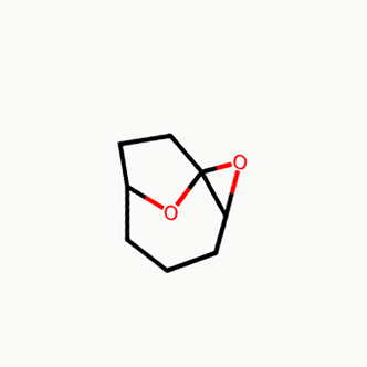 C1CC2CCC3(O2)OC3C1